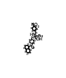 CCCC[C@@](CO)(CN1CCN(C(=O)c2cccc3ccccc23)CC1)NCc1ccc([N+](=O)[O-])cc1